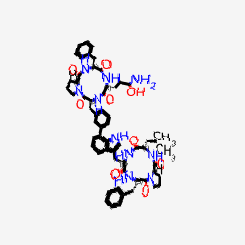 CC(C)C[C@@H]1NC(=O)[C@H]2CCCN2C(=O)[C@H](Cc2ccccc2)NC(=O)[C@@H](Cc2c[nH]c3c(-c4cccc(C[C@@H]5NC(=O)[C@@H](CCC(N)O)NC(=O)[C@H](Cc6ccccc6)NC(=O)[C@H]6CCCN6C5=O)c4)cccc23)NC1=O